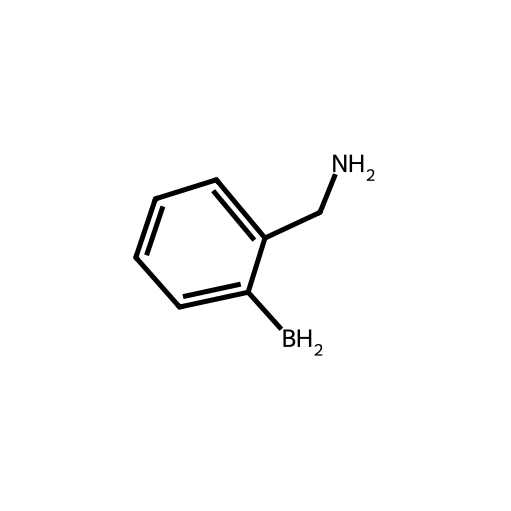 Bc1ccccc1CN